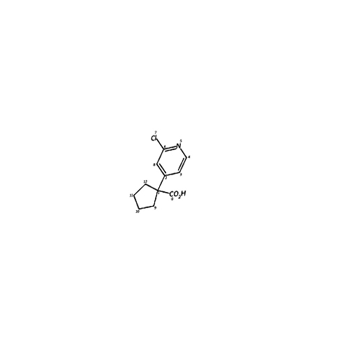 O=C(O)C1(c2ccnc(Cl)c2)CCCC1